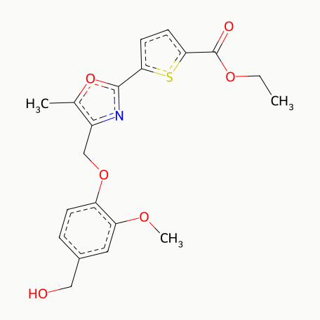 CCOC(=O)c1ccc(-c2nc(COc3ccc(CO)cc3OC)c(C)o2)s1